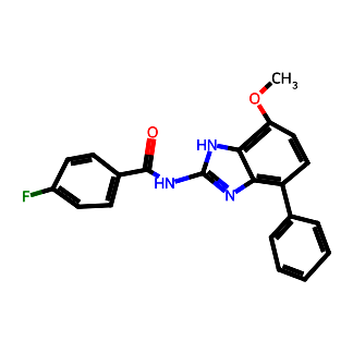 COc1ccc(-c2ccccc2)c2nc(NC(=O)c3ccc(F)cc3)[nH]c12